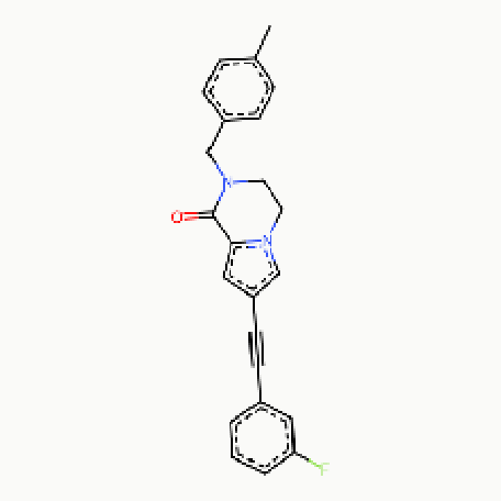 Cc1ccc(CN2CCn3cc(C#Cc4cccc(F)c4)cc3C2=O)cc1